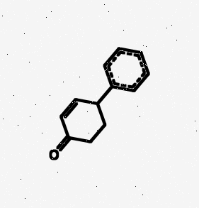 O=C1C=CC(c2ccccc2)CC1